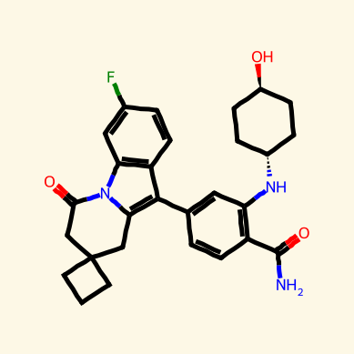 NC(=O)c1ccc(-c2c3n(c4cc(F)ccc24)C(=O)CC2(CCC2)C3)cc1N[C@H]1CC[C@H](O)CC1